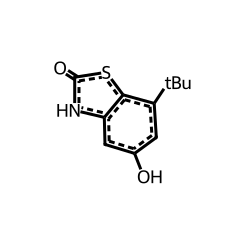 CC(C)(C)c1cc(O)cc2[nH]c(=O)sc12